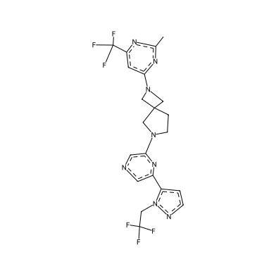 Cc1nc(N2CC3(CCN(c4cncc(-c5ccnn5CC(F)(F)F)n4)C3)C2)cc(C(F)(F)F)n1